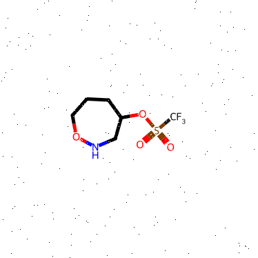 O=S(=O)(OC1CCCONC1)C(F)(F)F